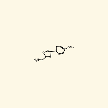 COc1ccc(-c2cc(CN)on2)cc1